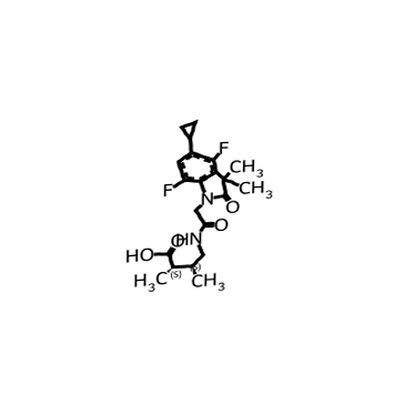 C[C@H](CNC(=O)CN1C(=O)C(C)(C)c2c(F)c(C3CC3)cc(F)c21)[C@H](C)C(=O)O